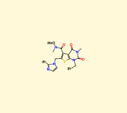 CON(C)C(=O)c1c(Cn2ccnc2C(C)C)sc2c1c(=O)n(C)c(=O)n2CC(C)C